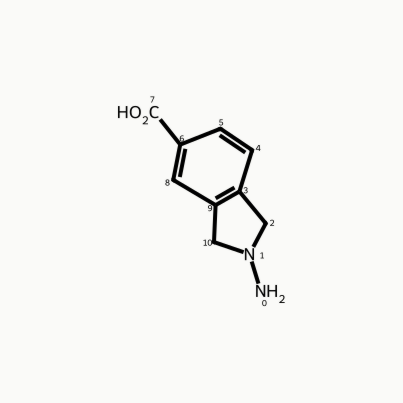 NN1Cc2ccc(C(=O)O)cc2C1